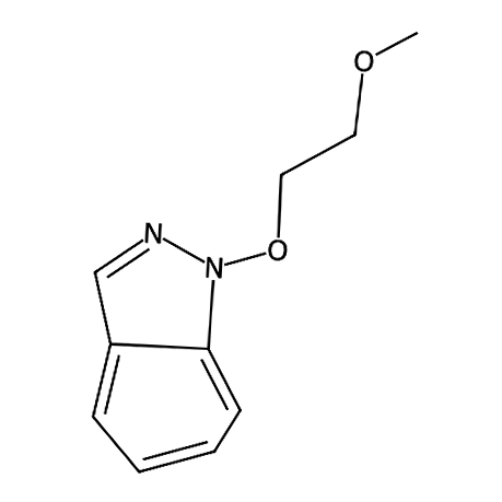 COCCOn1ncc2ccccc21